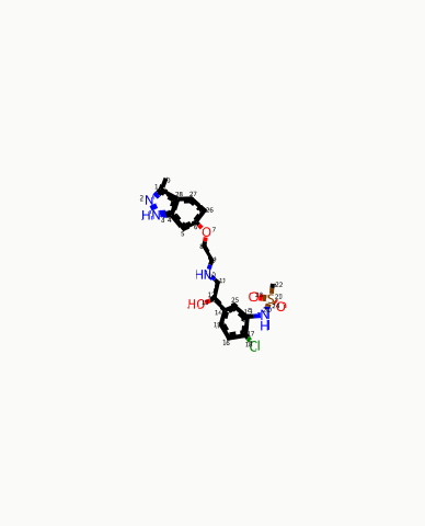 Cc1n[nH]c2cc(OCCNCC(O)c3ccc(Cl)c(NS(C)(=O)=O)c3)ccc12